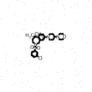 CC1(C)CCN(S(=O)(=O)c2cccc(Cl)c2)Cc2cc(N3CCC(N4CCOCC4)CC3)ccc21